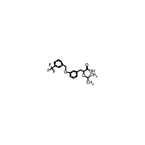 CC(C)OC(Cc1cccc(OCc2cccc(C(F)(F)F)c2)c1)C(=O)O